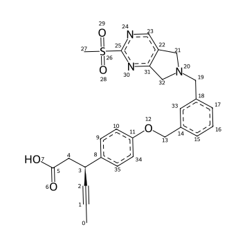 CC#C[C@@H](CC(=O)O)c1ccc(OCc2cccc(CN3Cc4cnc(S(C)(=O)=O)nc4C3)c2)cc1